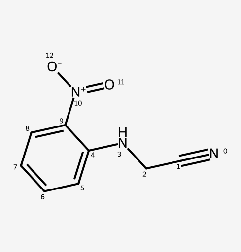 N#CCNc1ccccc1[N+](=O)[O-]